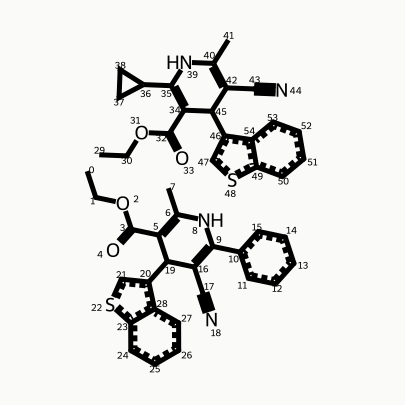 CCOC(=O)C1=C(C)NC(c2ccccc2)=C(C#N)C1c1csc2ccccc12.CCOC(=O)C1=C(C2CC2)NC(C)=C(C#N)C1c1csc2ccccc12